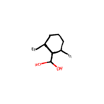 CCC1CCCC(CC)C1C(O)O